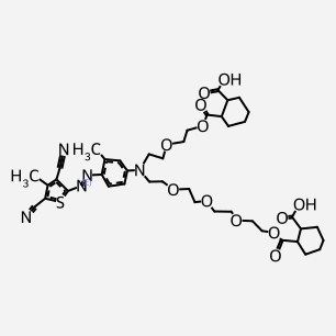 Cc1cc(N(CCOCCOCCOCCOC(=O)C2CCCCC2C(=O)O)CCOCCOC(=O)C2CCCCC2C(=O)O)ccc1/N=N/c1sc(C#N)c(C)c1C#N